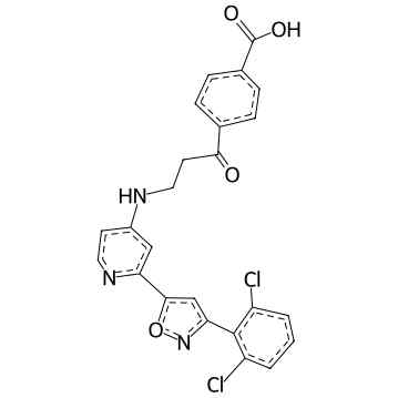 O=C(O)c1ccc(C(=O)CCNc2ccnc(-c3cc(-c4c(Cl)cccc4Cl)no3)c2)cc1